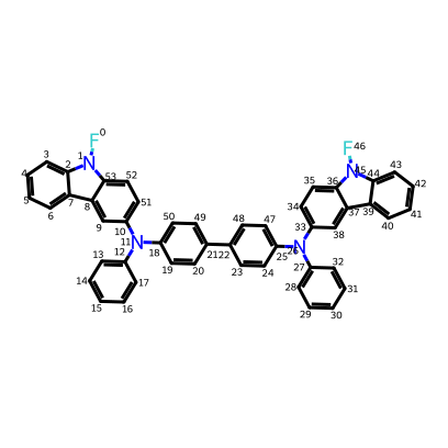 Fn1c2ccccc2c2cc(N(c3ccccc3)c3ccc(-c4ccc(N(c5ccccc5)c5ccc6c(c5)c5ccccc5n6F)cc4)cc3)ccc21